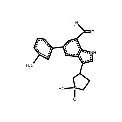 Cc1cccc(-c2cc(C(N)=O)c3[nH]cc(C4CCS(O)(O)C4)c3c2)c1